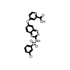 O=C(O)c1cc(Oc2ccc3nc(NS(=O)(=O)c4cccc(Cl)c4)nnc3c2)ccn1